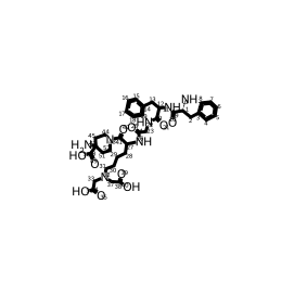 N[C@H](Cc1ccccc1)C(=O)NC(Cc1ccccc1)C(=O)NCC(=O)NC(CCCCN(CC(=O)O)CC(=O)O)C(=O)N1CCC(N)(C(=O)O)CC1